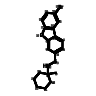 CC1(NSc2ccc3c(c2)oc2ccc(Br)cc23)CCCCC1